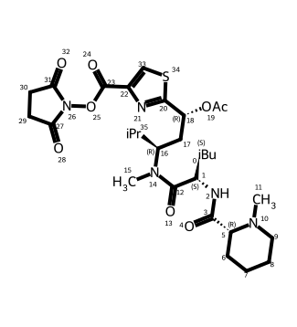 CC[C@H](C)[C@H](NC(=O)[C@H]1CCCCN1C)C(=O)N(C)[C@H](C[C@@H](OC(C)=O)c1nc(C(=O)ON2C(=O)CCC2=O)cs1)C(C)C